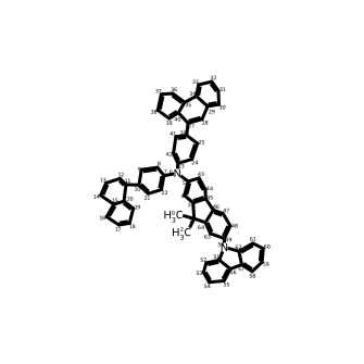 CC1(C)c2cc(N(c3ccc(-c4cccc5ccccc45)cc3)c3ccc(-c4cc5ccccc5c5ccccc45)cc3)ccc2-c2ccc(-n3c4ccccc4c4ccccc43)cc21